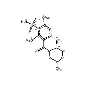 COc1ccc(C(=O)N2C[C@@H](C)OC[C@@H]2C)c(OC)c1S(N)(=O)=O